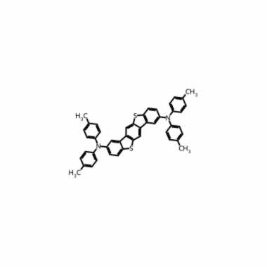 Cc1ccc(N(c2ccc(C)cc2)c2ccc3sc4cc5c(cc4c3c2)sc2ccc(N(c3ccc(C)cc3)c3ccc(C)cc3)cc25)cc1